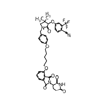 CC1(C)CN(Cc2ccc(OCCCCCOc3cccc4c3C(=O)N(C3CCC(=O)NC3=O)C4=O)cc2)C(=O)C1Oc1ccc(C#N)c(C(F)(F)F)c1